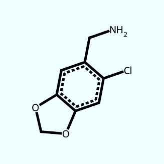 NCc1cc2c(cc1Cl)OCO2